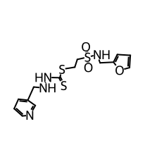 O=S(=O)(CCSC(=S)NNCc1cccnc1)NCc1ccco1